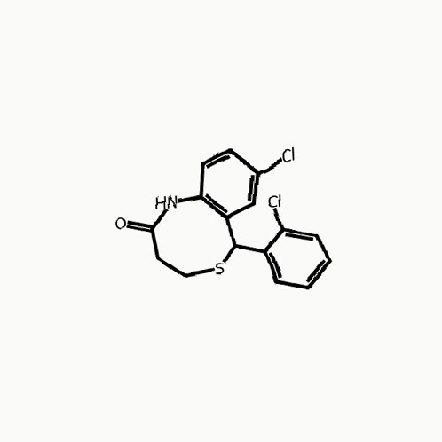 O=C1CCSC(c2ccccc2Cl)c2cc(Cl)ccc2N1